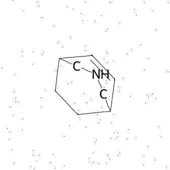 C1=CC2CCC1CNC2